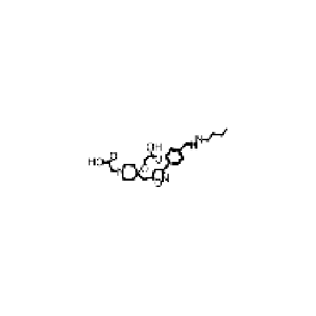 CCCCNN=Cc1ccc(C2=NOC(CC3(OCC(=O)O)CCN(CC(=O)O)CC3)C2)cc1